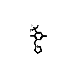 Cc1cc(CN2CCCC2)c(C)c(C(F)(F)F)c1